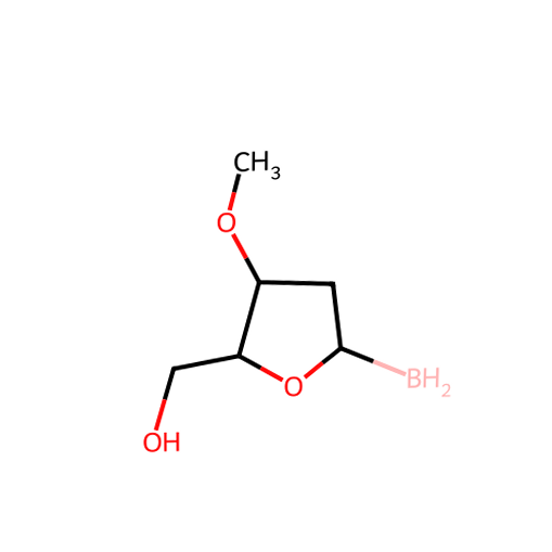 BC1CC(OC)C(CO)O1